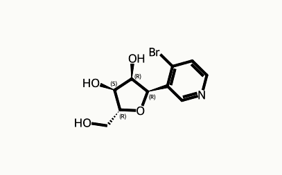 OC[C@H]1O[C@H](c2cnccc2Br)[C@H](O)[C@@H]1O